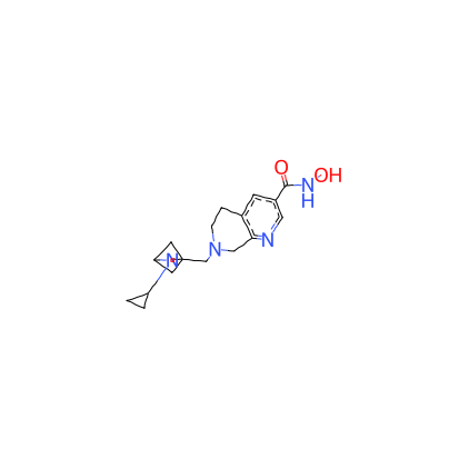 O=C(NO)c1cnc2c(c1)CCN(CC13CC(C1)N(C1CC1)C3)C2